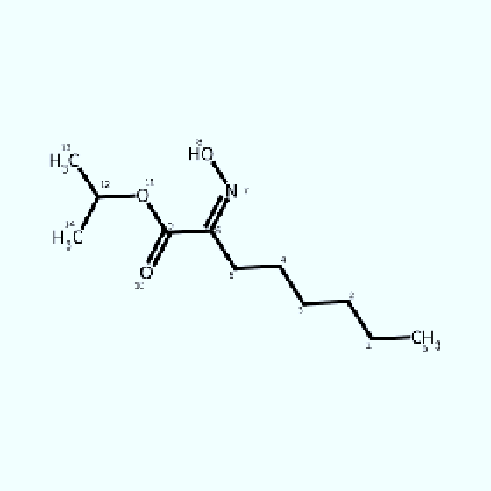 CCCCCCC(=NO)C(=O)OC(C)C